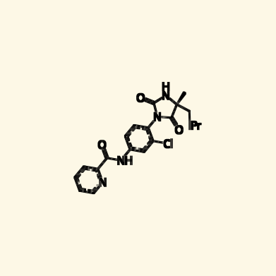 CC(C)C[C@@]1(C)NC(=O)N(c2ccc(NC(=O)c3ccccn3)cc2Cl)C1=O